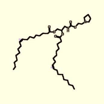 CCCCCCCC/C=C\CCCCCCCC(=O)OCC(CNC(=O)OCCN1CCCC1)OC(=O)CCCCCCC/C=C\CCCCCCCC